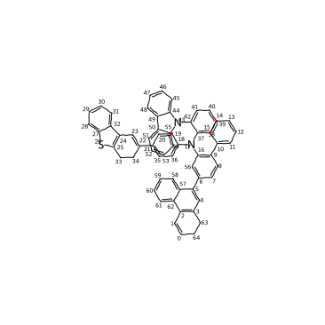 C1=Cc2c(cc(-c3ccc(-c4ccccc4)c(N(c4ccc(C5=Cc6c(sc7ccccc67)CC5)cc4)c4ccccc4-n4c5ccccc5c5ccccc54)c3)c3ccccc23)CC1